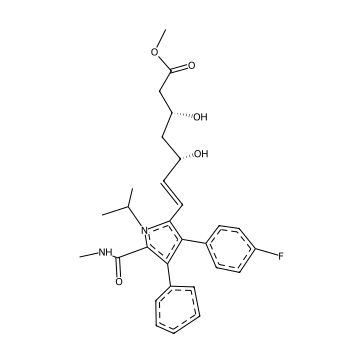 CNC(=O)c1c(-c2ccccc2)c(-c2ccc(F)cc2)c(/C=C/[C@@H](O)C[C@@H](O)CC(=O)OC)n1C(C)C